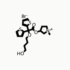 C[N+]1(C)CCC(OC(=O)C(OCCCCO)(c2cccs2)c2cccs2)C1.[Br-]